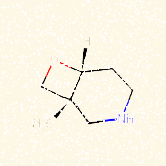 C[C@]12CNCC[C@H]1OC2